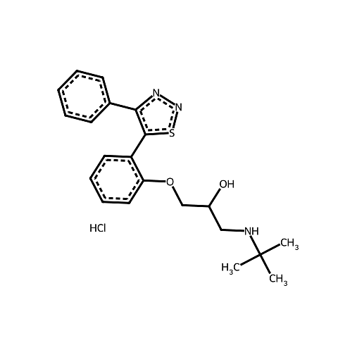 CC(C)(C)NCC(O)COc1ccccc1-c1snnc1-c1ccccc1.Cl